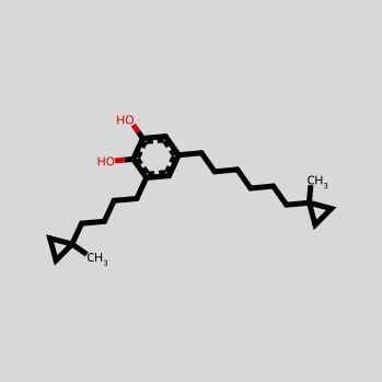 CC1(CCCCCCc2cc(O)c(O)c(CCCCC3(C)CC3)c2)CC1